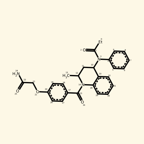 CCC(=O)N(c1ccccc1)C1CC(C)N(C(=O)c2ccc(OCC(N)=O)cc2)c2ccccc21